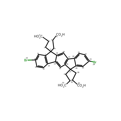 O=C(O)CCC1(CCC(=O)O)c2cc(Br)ccc2-c2cc3c(cc21)-c1ccc(Br)cc1C3(CCC(=O)O)CCC(=O)O